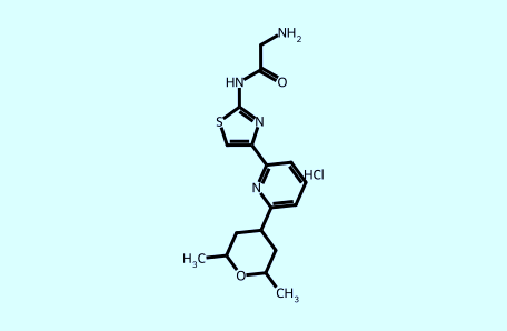 CC1CC(c2cccc(-c3csc(NC(=O)CN)n3)n2)CC(C)O1.Cl